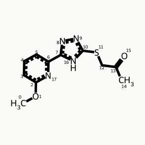 COc1cccc(-c2nnc(SCC(C)=O)[nH]2)n1